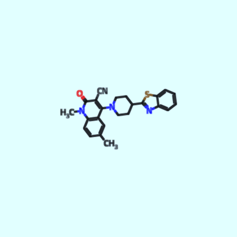 Cc1ccc2c(c1)c(N1CCC(c3nc4ccccc4s3)CC1)c(C#N)c(=O)n2C